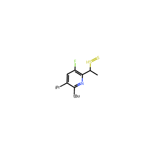 CC(C)c1cc(F)c(C(C)[SH]=S)nc1C(C)(C)C